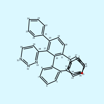 c1ccc(-c2ccccc2-c2c(-c3ccccc3)ccc(-c3ccccc3)c2-c2ccnnn2)cc1